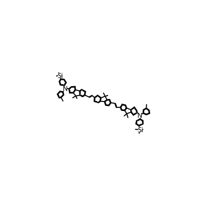 Cc1cccc(N(c2ccc([Si](C)(C)C)cc2)c2ccc3c(c2)C(C)(C)c2cc(/C=C/c4ccc5c(c4)C(C)(C)c4cc(/C=C/c6ccc7c(c6)C(C)(C)c6cc(N(c8ccc([Si](C)(C)C)cc8)c8cccc(C)c8)ccc6-7)ccc4-5)ccc2-3)c1